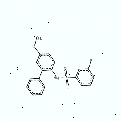 COc1ccc(NS(=O)(=O)c2cccc(F)c2)c(-c2ccccc2)c1